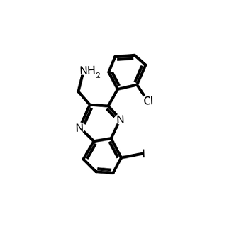 NCc1nc2cccc(I)c2nc1-c1ccccc1Cl